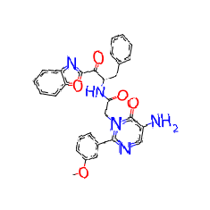 COc1cccc(-c2ncc(N)c(=O)n2CC(=O)NC(Cc2ccccc2)C(=O)c2nc3ccccc3o2)c1